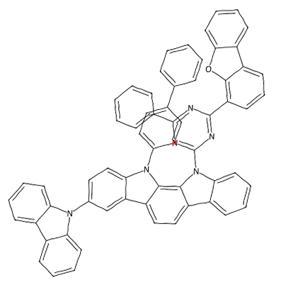 c1ccc(-c2ccc(-n3c4ccc(-n5c6ccccc6c6ccccc65)cc4c4ccc5c6ccccc6n(-c6nc(-c7ccccc7)nc(-c7cccc8c7oc7ccccc78)n6)c5c43)cc2)cc1